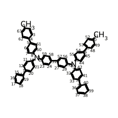 Cc1ccc(-c2ccc(N(c3ccc(-c4ccccc4)cc3)c3ccc(-c4ccc(N(c5ccc(-c6ccccc6)cc5)c5ccc(-c6ccc(C)cc6)cc5)cc4)cc3)cc2)cc1